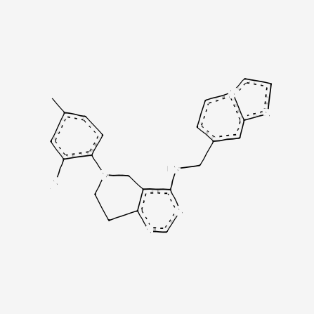 Cc1ccc(N2CCc3ncnc(NCc4ccn5ccnc5c4)c3C2)c(N)c1